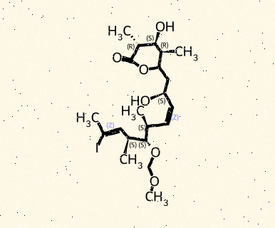 COCO[C@@H]([C@@H](C)/C=C\[C@@H](O)CC1OC(=O)[C@H](C)[C@@H](O)[C@H]1C)[C@@H](C)/C=C(/C)I